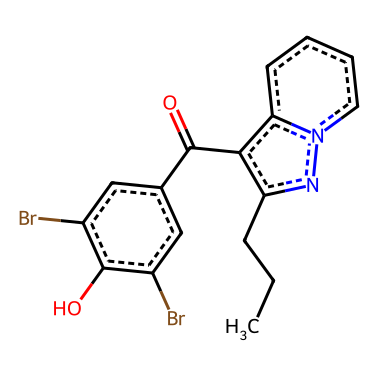 CCCc1nn2ccccc2c1C(=O)c1cc(Br)c(O)c(Br)c1